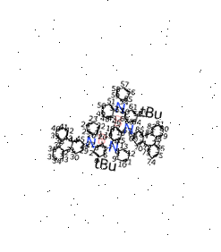 CC(C)(C)c1cc2c3c(c1)N(c1ccccc1)c1cc4c(cc1B3c1ccccc1N2c1ccc2c3ccccc3c3ccccc3c2c1)B1c2ccccc2N(c2ccccc2)c2cc(C(C)(C)C)cc(c21)N4c1ccc2c3ccccc3c3ccccc3c2c1